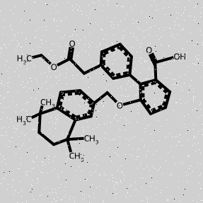 CCOC(=O)Cc1cccc(-c2c(OCc3ccc4c(c3)C(C)(C)CCC4(C)C)cccc2C(=O)O)c1